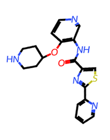 O=C(Nc1cnccc1OC1CCNCC1)c1csc(-c2ccccn2)n1